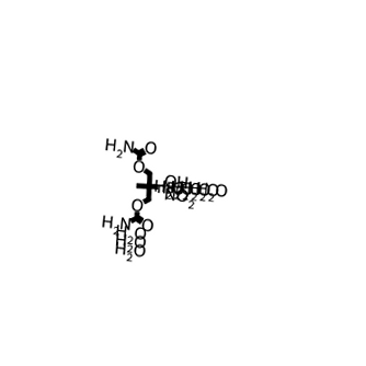 CCCC(C)(COC(N)=O)COC(N)=O.O.O.O.O.O.O.O.O.O.O=[N+]([O-])O